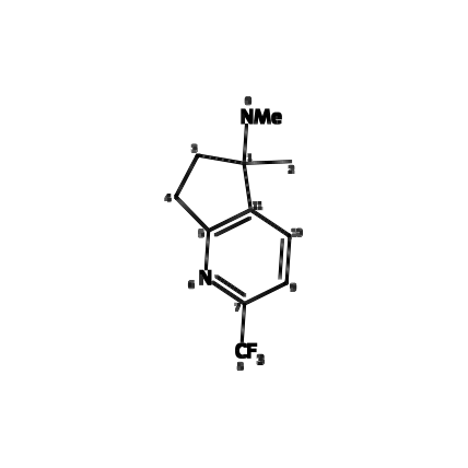 CNC1(C)CCc2nc(C(F)(F)F)ccc21